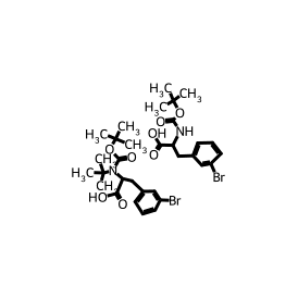 CC(C)(C)OC(=O)N(C(Cc1cccc(Br)c1)C(=O)O)C(C)(C)C.CC(C)(C)OC(=O)NC(Cc1cccc(Br)c1)C(=O)O